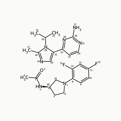 CC(=O)N[C@@H]1CCN(c2ccc(F)cc2F)C1.Cc1ncc(-c2ccnc(N)n2)n1C(C)C